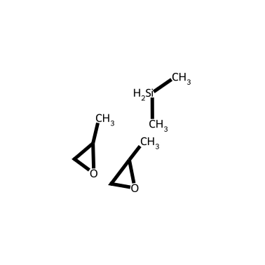 CC1CO1.CC1CO1.C[SiH2]C